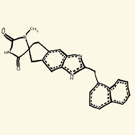 CN1C(=O)NC(=O)C12Cc1cc3nc(Cc4cccc5ccccc45)[nH]c3cc1C2